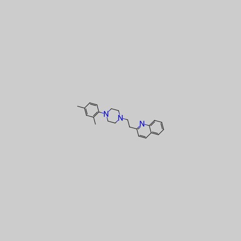 Cc1ccc(N2CCN(CCc3ccc4ccccc4n3)CC2)c(C)c1